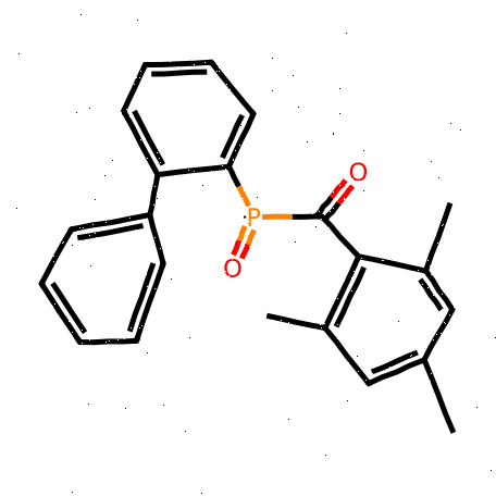 Cc1cc(C)c(C(=O)[P](=O)c2ccccc2-c2ccccc2)c(C)c1